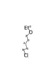 CCOCCCCCCl